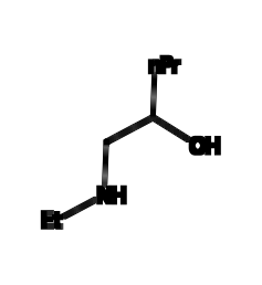 CCCC(O)CNCC